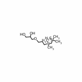 C[Si](C)(C)C[Si](C)(C)CCCOCC(O)CO